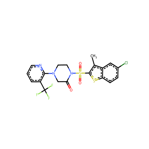 Cc1c(S(=O)(=O)N2CCN(c3ncccc3C(F)(F)F)CC2=O)sc2ccc(Cl)cc12